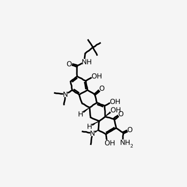 CN(C)c1cc(C(=O)NCC(C)(C)C)c(O)c2c1C[C@H]1C[C@H]3[C@H](N(C)C)C(O)=C(C(N)=O)C(=O)[C@@]3(O)C(O)=C1C2=O